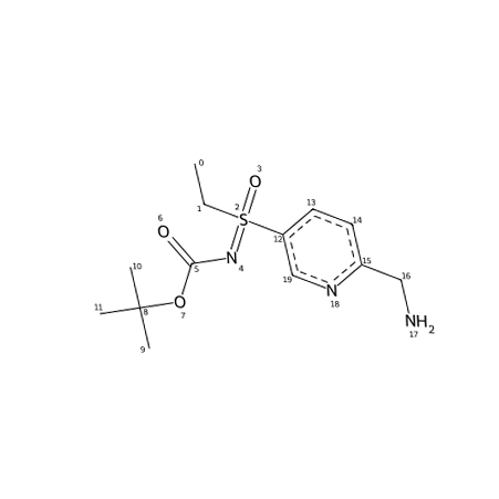 CCS(=O)(=NC(=O)OC(C)(C)C)c1ccc(CN)nc1